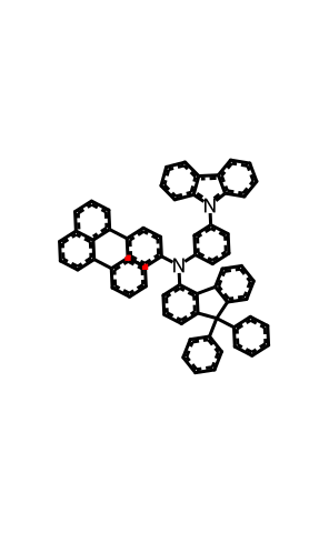 c1ccc(-c2cccc3cccc(-c4ccc(N(c5cccc(-n6c7ccccc7c7ccccc76)c5)c5cccc6c5-c5ccccc5C6(c5ccccc5)c5ccccc5)cc4)c23)cc1